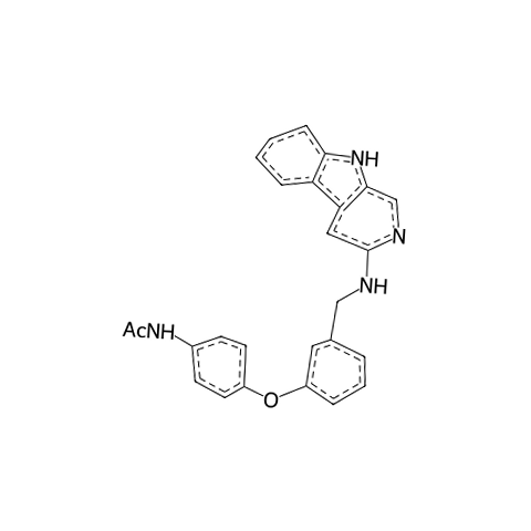 CC(=O)Nc1ccc(Oc2cccc(CNc3cc4c(cn3)[nH]c3ccccc34)c2)cc1